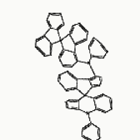 c1ccc(N2c3ccccc3C3(c4ccccc4-c4c(N(c5ccccc5)c5cccc6c5-c5ccccc5C65c6ccccc6-c6ccccc65)cccc43)c3ccccc32)cc1